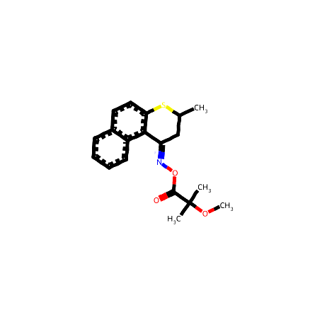 COC(C)(C)C(=O)O/N=C1\CC(C)Sc2ccc3ccccc3c21